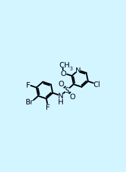 COc1ncc(Cl)cc1S(=O)(=O)Nc1ccc(F)c(Br)c1F